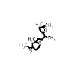 CC(CCC1(C)CC2(CCO1)SC2C)C1CCC(C)(C)O1